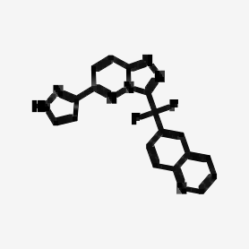 FC(F)(c1ccc2ncccc2c1)c1nnc2ccc(-c3cc[nH]n3)nn12